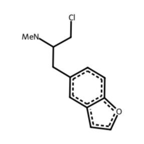 CNC(CCl)Cc1ccc2occc2c1